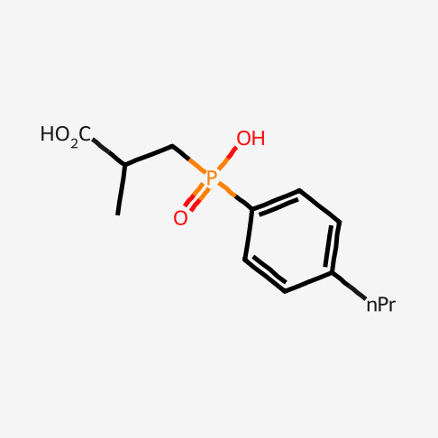 CCCc1ccc(P(=O)(O)CC(C)C(=O)O)cc1